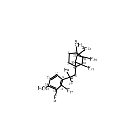 CC12CCC(CC(F)(F)c3ccc(O)c(F)c3F)(CC1)C(F)C2(F)F